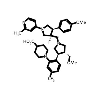 COC[C@H]1CN([C][C@@]2(F)CN(c3ccnc(C)c3)C[C@H]2c2ccc(OC)cc2)C[C@@H]1c1ccc(C(F)(F)F)cc1N1CCC(C(=O)O)CC1